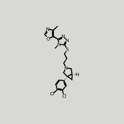 Cc1ncoc1-c1nnc(SCCCN2C[C@H]3C[C@@]3(c3ccc(Cl)c(Cl)c3)C2)n1C